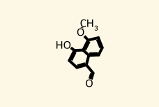 COc1cccc2c(C=O)ccc(O)c12